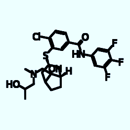 CC(O)CN(C)C[C@@]1(O)C2CC[C@H]1C[C@H](Sc1cc(C(=O)Nc3cc(F)c(F)c(F)c3)ccc1Cl)C2